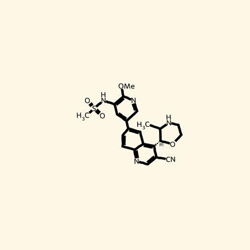 COc1ncc(-c2ccc3ncc(C#N)c([C@H]4OCCNC4C)c3c2)cc1NS(C)(=O)=O